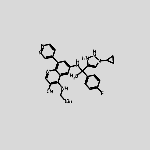 BC(Nc1cc(-c2ccnnc2)c2ncc(C#N)c(NCC(C)(C)C)c2c1)(C1=CN(C2CC2)NN1)c1ccc(F)cc1